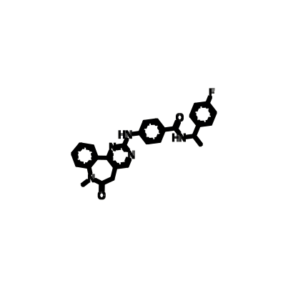 CC(NC(=O)c1ccc(Nc2ncc3c(n2)-c2ccccc2N(C)C(=O)C3)cc1)c1ccc(F)cc1